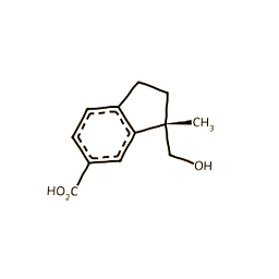 C[C@]1(CO)CCc2ccc(C(=O)O)cc21